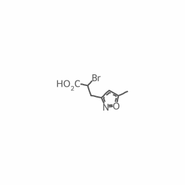 Cc1cc(CC(Br)C(=O)O)no1